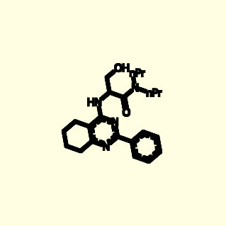 CCCN(CCC)C(=O)C(CO)Nc1nc(-c2ccccc2)nc2c1CCCC2